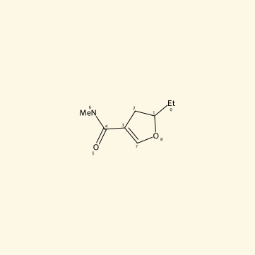 CCC1CC(C(=O)NC)=CO1